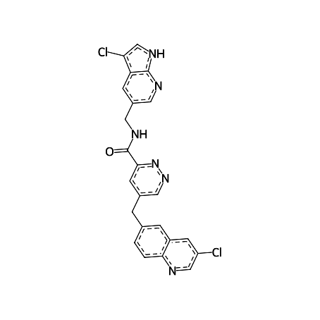 O=C(NCc1cnc2[nH]cc(Cl)c2c1)c1cc(Cc2ccc3ncc(Cl)cc3c2)cnn1